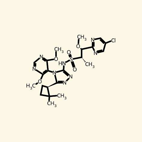 COc1ncnc(OC)c1-n1c(NS(=O)(=O)[C@@H](C)[C@H](OC)c2ncc(Cl)cn2)nnc1[C@@H]1CCC1(C)C